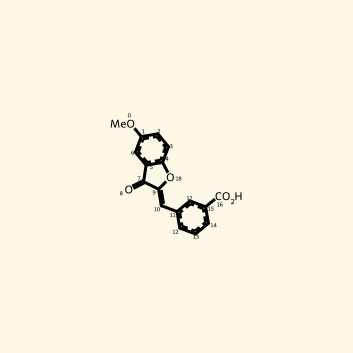 COc1ccc2c(c1)C(=O)C(=Cc1cccc(C(=O)O)c1)O2